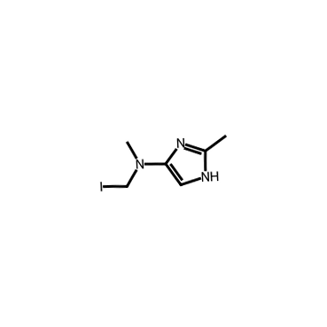 Cc1nc(N(C)CI)c[nH]1